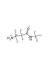 CC(C)(C)NC(=O)C(C)(C)C(C)(C)N